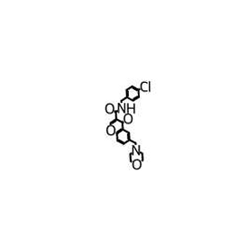 O=C(NCc1ccc(Cl)cc1)c1coc2ccc(CN3CCOCC3)cc2c1=O